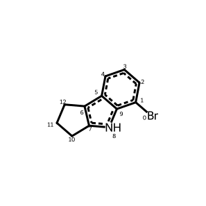 Brc1cccc2c3c([nH]c12)CCC3